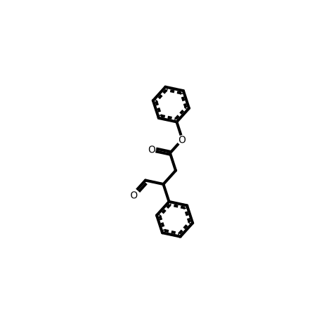 O=CC(CC(=O)Oc1ccccc1)c1ccccc1